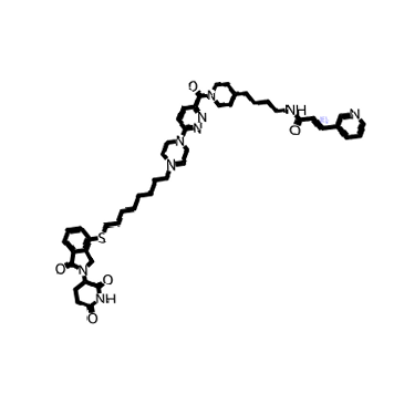 O=C(/C=C/c1cccnc1)NCCCCC1CCN(C(=O)c2ccc(N3CCN(CCCCCCCCSc4cccc5c4CN(C4CCC(=O)NC4=O)C5=O)CC3)nn2)CC1